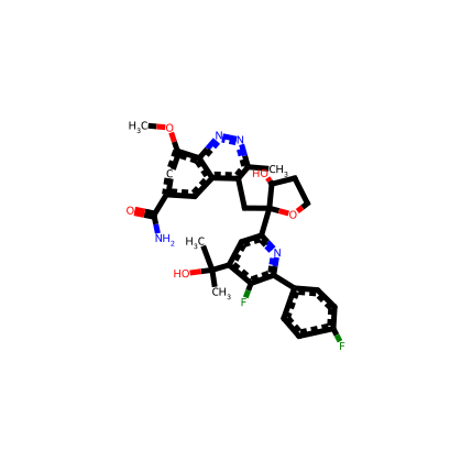 COc1cc(C(N)=O)cc2c(CC3(c4cc(C(C)(C)O)c(F)c(-c5ccc(F)cc5)n4)OCCC3O)c(C)nnc12